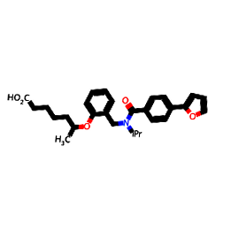 CC(CCCCC(=O)O)Oc1ccccc1CN(C(=O)c1ccc(-c2ccco2)cc1)C(C)C